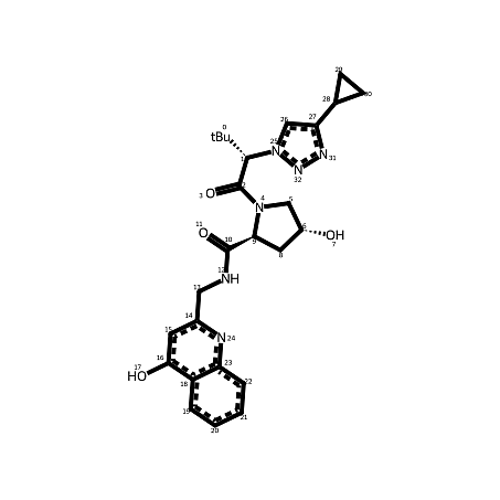 CC(C)(C)[C@@H](C(=O)N1C[C@H](O)C[C@H]1C(=O)NCc1cc(O)c2ccccc2n1)n1cc(C2CC2)nn1